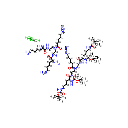 CC(C)(C)OC(=O)NCCCC[C@H](NC(=O)OC(C)(C)C)C(=O)NCCN(CCNC(=O)[C@H](CCCCNC(=O)OC(C)(C)C)NC(=O)OC(C)(C)C)C(=O)CCCCCN=[N+]=[N-].Cl.Cl.Cl.Cl.[N-]=[N+]=NCCCCCC(=O)N(CCNC(=O)[C@@H](N)CCCCN)CCNC(=O)[C@@H](N)CCCCN